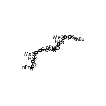 CCCCOCCOC1=CC(C)C(c2ccc(OC)c(/C=C/C(=O)Nc3ccc([S@+]([O-])Cc4c(C)nc(CCCCOCCOc5ccc(-c6ccc(OC)c(/C=C/C(=O)Nc7ccc([S@@+]([O-])Cc8c(C)ncn8CCC)cc7)c6)cc5)n4CCC)cc3)c2)C=C1